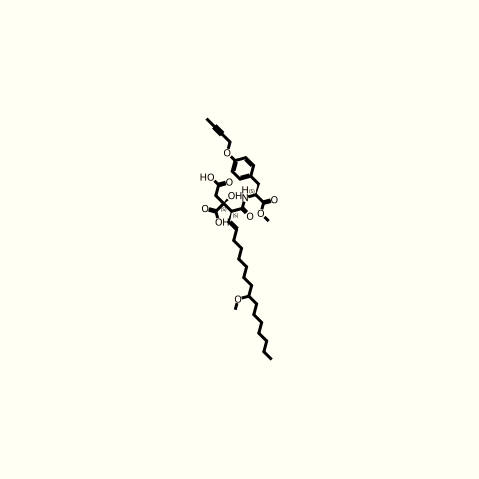 CC#CCOc1ccc(C[C@H](NC(=O)[C@@H](C=CCCCCCCC(CCCCCCC)OC)[C@@](O)(CC(=O)O)C(=O)O)C(=O)OC)cc1